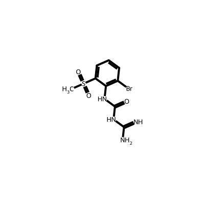 CS(=O)(=O)c1cccc(Br)c1NC(=O)NC(=N)N